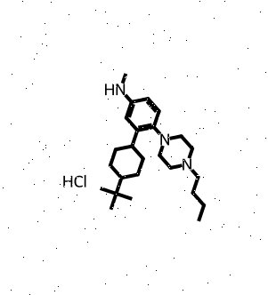 CCCCN1CCN(c2ccc(NC)cc2C2CCC(C(C)(C)C)CC2)CC1.Cl